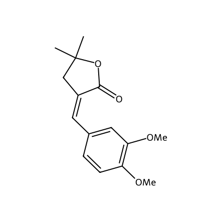 COc1ccc(C=C2CC(C)(C)OC2=O)cc1OC